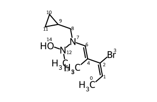 C/C=C(Br)\C(C)=C\N(CC1CC1)N(C)O